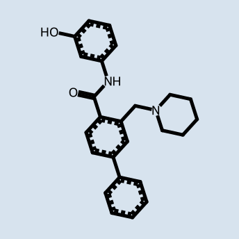 O=C(Nc1cccc(O)c1)c1ccc(-c2ccccc2)cc1CN1CCCCC1